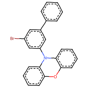 Brc1cc(-c2ccccc2)cc(N2c3ccccc3Oc3ccccc32)c1